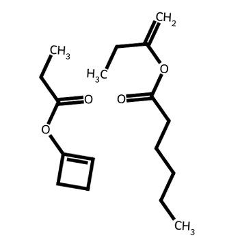 C=C(CC)OC(=O)CCCCC.CCC(=O)OC1=CCC1